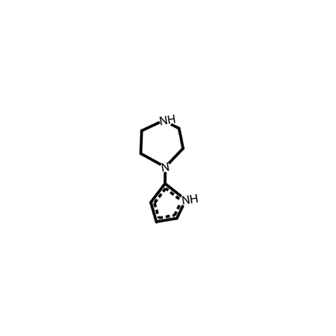 c1c[nH]c(N2CCNCC2)c1